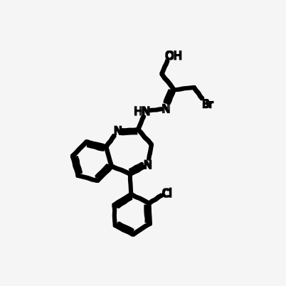 OC/C(CBr)=N\NC1=Nc2ccccc2C(c2ccccc2Cl)=NC1